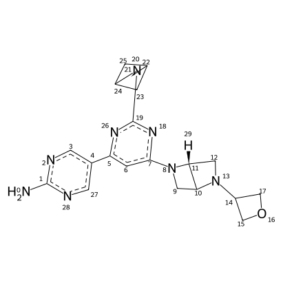 Nc1ncc(-c2cc(N3CC4[C@H]3CN4C3COC3)nc(N3CC4CC3C4)n2)cn1